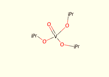 CC(C)[O][V](=[O])([O]C(C)C)[O]C(C)C